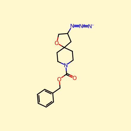 [N-]=[N+]=NC1COC2(CCN(C(=O)OCc3ccccc3)CC2)C1